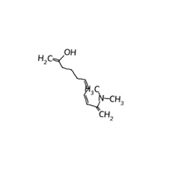 C=C(O)CCC/C=C\C=C/C(=C)N(C)C